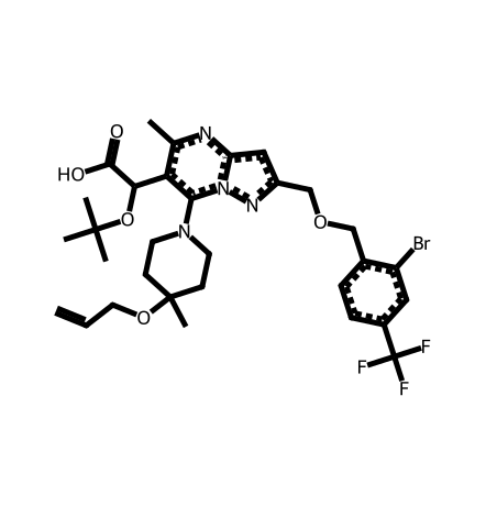 C=CCOC1(C)CCN(c2c(C(OC(C)(C)C)C(=O)O)c(C)nc3cc(COCc4ccc(C(F)(F)F)cc4Br)nn23)CC1